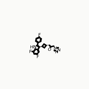 O=C(Cn1cnnc1)C[C@H]1C[C@H](c2c(-c3ccc(F)cc3)[nH]c3c(F)cc(F)cc32)C1